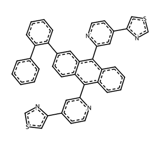 c1ccc(-c2ccccc2-c2ccc3c(-c4cc(-c5cscn5)ccn4)c4ccccc4c(-c4cc(-c5cscn5)ccn4)c3c2)cc1